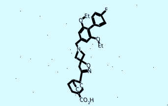 CCOc1cc(CN2CC3(CC(C4CCC5(C(=O)O)CCC4CC5)=NO3)C2)cc(OCC)c1-c1ccc(F)cc1